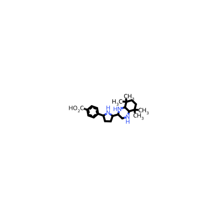 CC1(C)CCC(C)(C)C2NC(C3CCC(c4ccc(C(=O)O)cc4)N3)CNC21